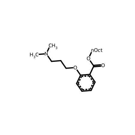 CCCCCCCCOC(=O)c1ccccc1OCCCN(C)C